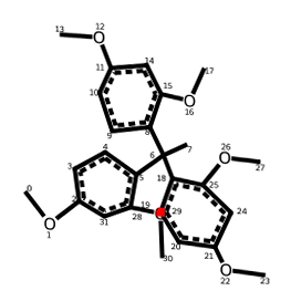 COc1ccc(C(C)(c2ccc(OC)cc2OC)c2ccc(OC)cc2OC)c(OC)c1